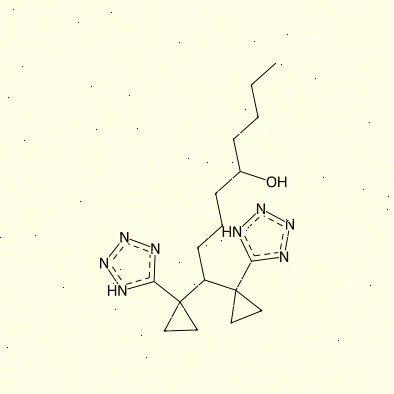 CCCCC(O)CCCC(C1(c2nnn[nH]2)CC1)C1(c2nnn[nH]2)CC1